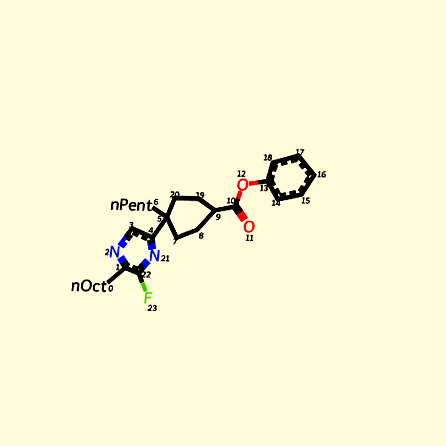 CCCCCCCCc1ncc(C2(CCCCC)CCC(C(=O)Oc3ccccc3)CC2)nc1F